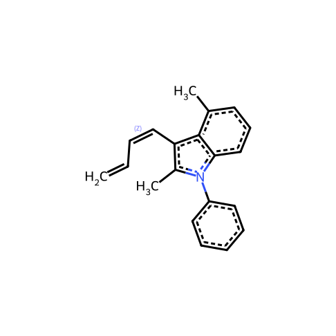 C=C/C=C\c1c(C)n(-c2ccccc2)c2cccc(C)c12